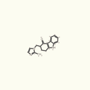 Cc1nccn1CC1CCc2[nH]c3ccccc3c2C1=O